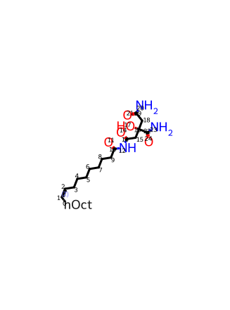 CCCCCCCC/C=C\CCCCCCCC(=O)NC(=O)CC(O)(CC(N)=O)C(N)=O